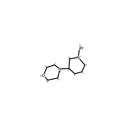 CC(C)N1CCCC(N2CCOCC2)C1